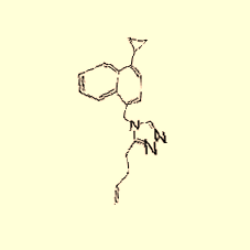 C=CCCc1nncn1Cc1ccc(C2CC2)c2ccccc12